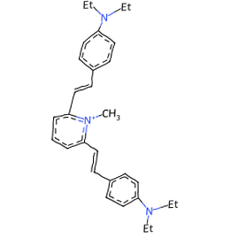 CCN(CC)c1ccc(/C=C/c2cccc(/C=C/c3ccc(N(CC)CC)cc3)[n+]2C)cc1